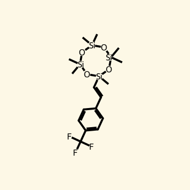 C[Si]1(C)O[Si](C)(C)O[Si](C)(/C=C/c2ccc(C(F)(F)F)cc2)O[Si](C)(C)O1